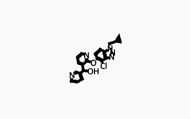 OC(c1cccnc1)c1cccnc1Oc1ccc2c(nnn2CC2CC2)c1Cl